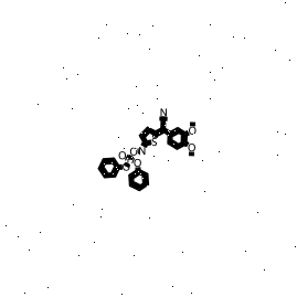 COc1ccc(/C(C#N)=C2C=C/C(=N\OP(=O)(Oc3ccccc3)Oc3ccccc3)S/2)cc1OC